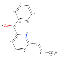 O=C(O)C=Cc1cccc(C(=O)c2ccccc2)n1